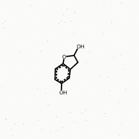 Oc1ccc2c(c1)CC(O)O2